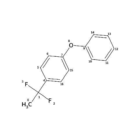 CC(F)(F)c1ccc(Oc2ccccc2)cc1